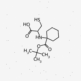 CC(C)(C)OC(=O)C1(NC(CS)C(=O)O)CCCCC1